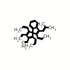 C=CC1=C(/C=C\C)C2(C(/C=C\C)=C1C=C)C(/C=C\C)=C(C=C(C)C)c1ccccc12